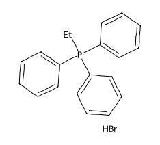 Br.CC[P](c1ccccc1)(c1ccccc1)c1ccccc1